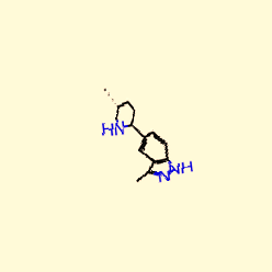 Cc1n[nH]c2ccc([C@@H]3CC[C@@H](C)CN3)cc12